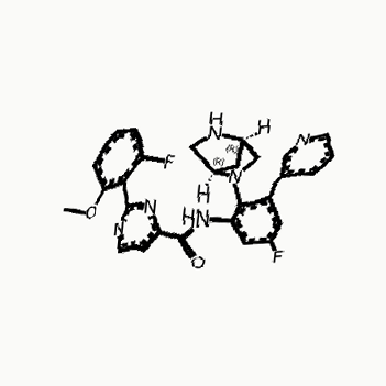 COc1cccc(F)c1-c1nccc(C(=O)Nc2cc(F)cc(-c3cccnc3)c2N2C[C@H]3C[C@@H]2CN3)n1